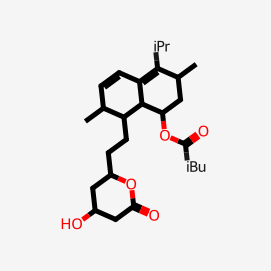 CCC(C)C(=O)OC1CC(C)C(C(C)C)=C2C=CC(C)C(CCC3CC(O)CC(=O)O3)C21